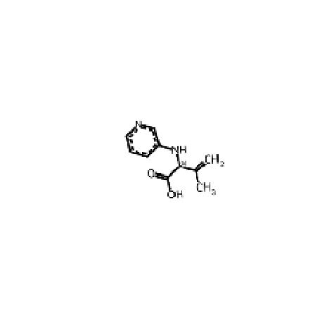 C=C(C)[C@H](Nc1cccnc1)C(=O)O